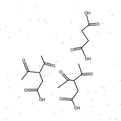 CC(=O)C(CC(=O)O)C(C)=O.CC(=O)C(CC(=O)O)C(C)=O.O=C(O)CCC(=O)O